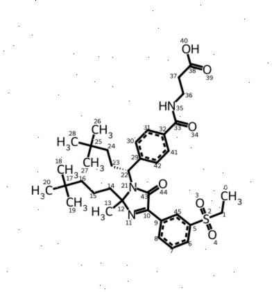 CCS(=O)(=O)c1cccc(C2=NC(C)(CCCC(C)(C)C)N([C@H](CCC(C)(C)C)c3ccc(C(=O)NCCC(=O)O)cc3)C2=O)c1